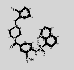 COc1cc(C(=O)N2CCN(Cc3ccccc3F)CC2)ccc1NS(=O)(=O)c1cccc2cccnc12